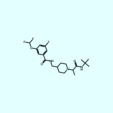 CC(C(=O)NC(C)(C)C)N1CCC(CNC(=O)c2cc(F)cc(OC(F)F)c2)CC1